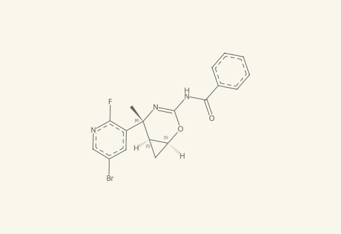 C[C@@]1(c2cc(Br)cnc2F)N=C(NC(=O)c2ccccc2)O[C@H]2C[C@H]21